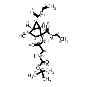 C=COC(=O)[C@H]1[C@H]2[C@@H]1[C@](NC(=O)CNC(=O)OC(C)(C)C)(C(=O)OCC)C[C@@H]2O